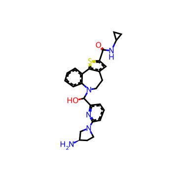 N[C@@H]1CCN(c2cccc(C(O)N3CCc4cc(C(=O)NC5CC5)sc4-c4ccccc43)n2)C1